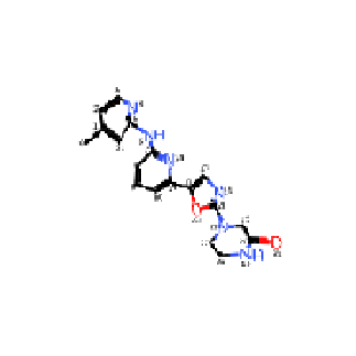 Cc1ccnc(Nc2cccc(-c3cnc(N4CCNC(=O)C4)o3)n2)c1